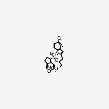 O=C(O)CCCc1cc2nc(Cl)ccc2n1S(=O)(=O)C1=C2C=COC=C2CC1